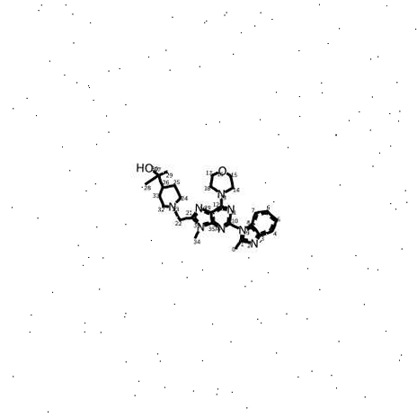 Cc1nc2ccccc2n1-c1nc(N2CCOCC2)c2nc(CN3CCC(C(C)(C)O)CC3)n(C)c2n1